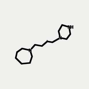 [CH](CCN1CCCCCC1)CN1CCNCC1